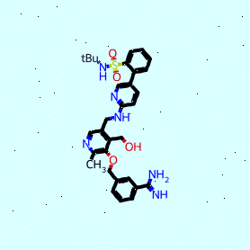 Cc1ncc(CNc2ccc(-c3ccccc3S(=O)(=O)NC(C)(C)C)cn2)c(CO)c1OCc1cccc(C(=N)N)c1